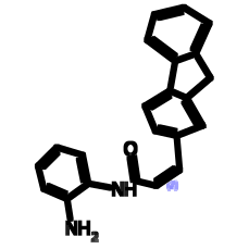 Nc1ccccc1NC(=O)/C=C\c1ccc2c(c1)Cc1ccccc1-2